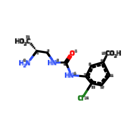 N[C@@H](CNC(=O)Nc1cc(C(=O)O)ccc1Cl)C(=O)O